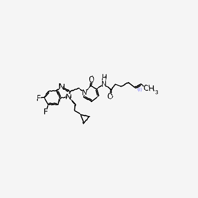 C/C=C/CCCC(=O)Nc1cccn(Cc2nc3cc(F)c(F)cc3n2CCC2CC2)c1=O